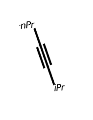 CC[CH]C#CC(C)C